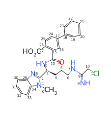 Cn1c([C@H](CCCNC(=N)CCl)NC(=O)c2cc(-c3ccccc3)ccc2C(=O)O)nc2ccccc21